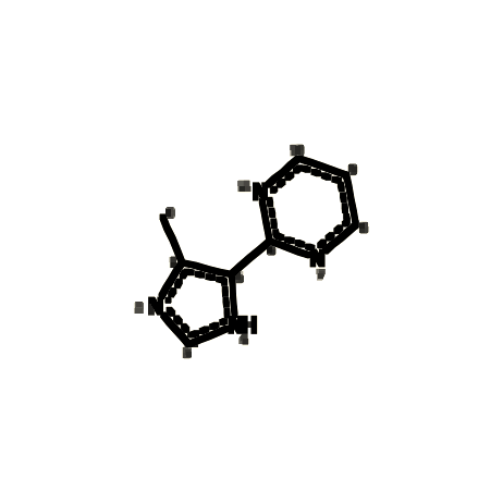 Cc1n[c][nH]c1-c1ncccn1